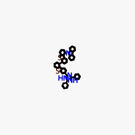 C1=CCC(C2NC(c3ccccc3)=NC(c3ccc4c(c3)sc3cccc(-c5cccc6c5sc5cccc(-n7c8ccccc8c8ccccc87)c56)c34)N2)C=C1